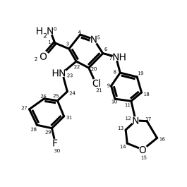 NC(=O)c1cnc(Nc2ccc(N3CCOCC3)cc2)c(Cl)c1NCc1cccc(F)c1